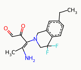 CCc1ccc2c(c1)CN(/C(C(=O)C=O)=C(/C)N)CC2(F)F